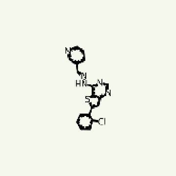 Clc1ccccc1-c1cc2ncnc(NN=Cc3cccnc3)c2s1